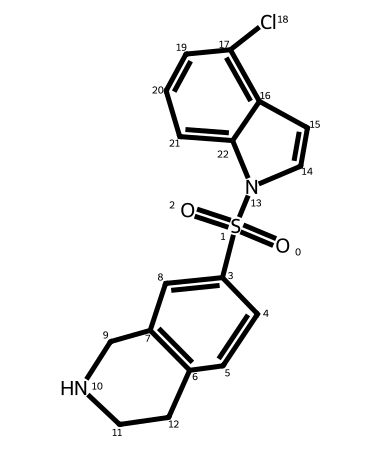 O=S(=O)(c1ccc2c(c1)CNCC2)n1ccc2c(Cl)cccc21